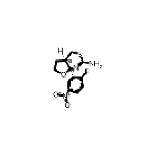 NC1=N[C@@]2(c3cc([N+](=O)[O-])ccc3F)OCC[C@H]2CS1